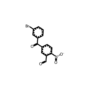 O=Cc1cc(C(=O)c2cccc(Br)c2)ccc1[N+](=O)[O-]